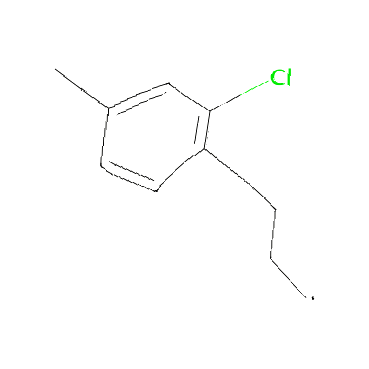 [CH2]CCc1ccc(C)cc1Cl